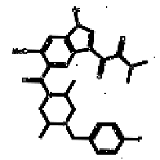 COc1cc2c(cc1C(=O)N1CC(C)N(Cc3ccc(F)cc3)CC1C)c(C(=O)C(=O)N(C)C)cn2C(C)=O